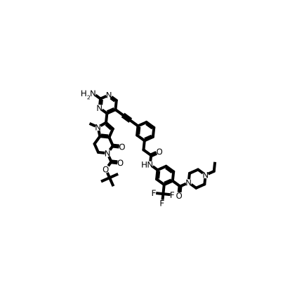 CCN1CCN(C(=O)c2ccc(NC(=O)Cc3cccc(C#Cc4cnc(N)nc4-c4cc5c(n4C)CCN(C(=O)OC(C)(C)C)C5=O)c3)cc2C(F)(F)F)CC1